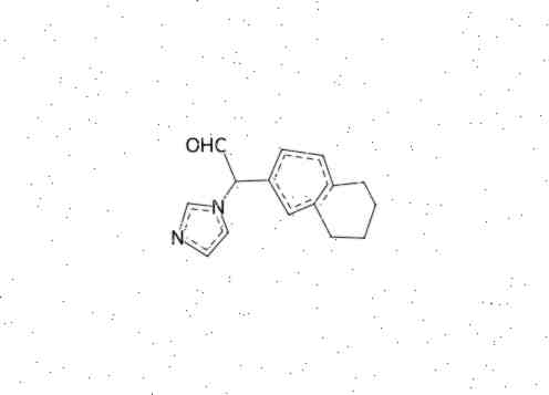 O=CC(c1ccc2c(c1)CCCC2)n1ccnc1